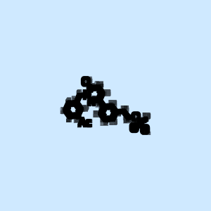 CC(=O)c1cccc(Cn2nc(-c3cccc(CCOS(C)(=O)=O)c3)ccc2=O)c1